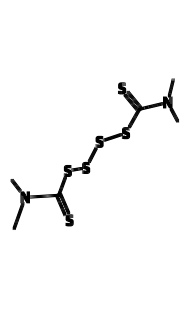 CN(C)C(=S)SSSSC(=S)N(C)C